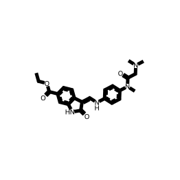 CCOC(=O)c1ccc2c(c1)NC(=O)C2=CNc1ccc(N(C)C(=O)CN(C)C)cc1